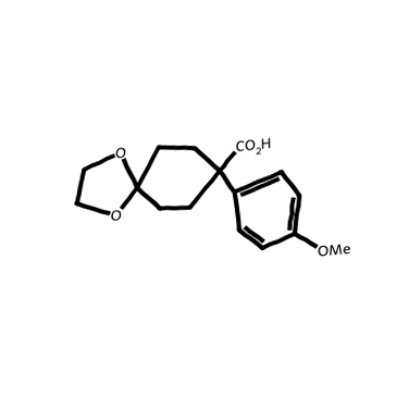 COc1ccc(C2(C(=O)O)CCC3(CC2)OCCO3)cc1